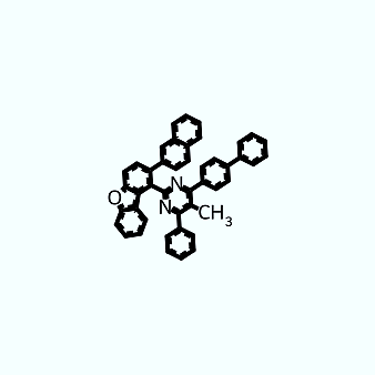 Cc1c(-c2ccccc2)nc(-c2c(-c3ccc4ccccc4c3)ccc3oc4ccccc4c23)nc1-c1ccc(-c2ccccc2)cc1